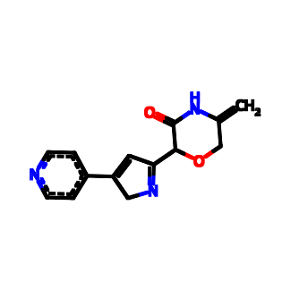 C=C1COC(C2=NCC(c3ccncc3)=C2)C(=O)N1